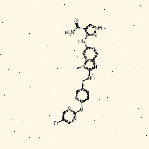 Cn1c(NCc2ccc(Oc3ncc(Cl)cn3)cc2)nc2ccc(Nc3n[nH]cc3C(N)=O)cc21